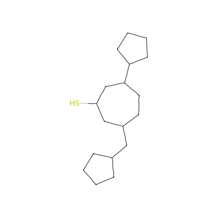 SC1CC(CC2CCCC2)CCC(C2CCCC2)C1